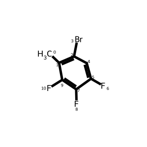 Cc1c(Br)cc(F)c(F)c1F